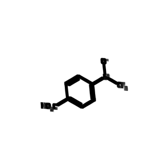 O=C(O)c1ccc([S+]([O-])C(F)(F)F)cc1